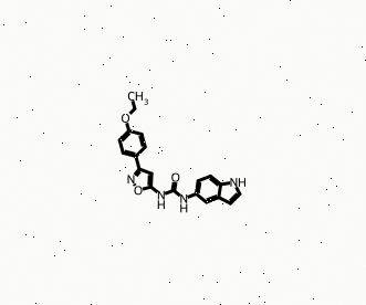 CCOc1ccc(-c2cc(NC(=O)Nc3ccc4[nH]ccc4c3)on2)cc1